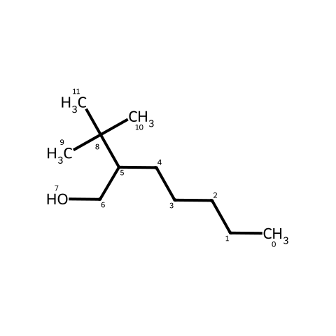 CCCCCC(CO)C(C)(C)C